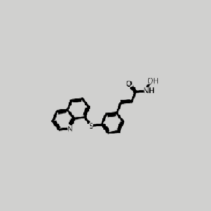 O=C(/C=C/c1cccc(Sc2cccc3cccnc23)c1)NO